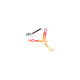 CCCC.O=[PH](O)S